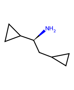 N[C@@H](CC1CC1)C1CC1